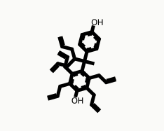 C=CCc1c(O)c(CC=C)c(CC=C)c(C(C)(c2ccc(O)cc2)C(CC=C)CC=C)c1CC=C